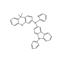 CC1(C)c2ccccc2Oc2cc(N(c3ccc4c(c3)c3ccccc3n4-c3ccccc3)c3ccccn3)ccc21